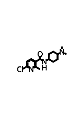 Cc1nc(Cl)ccc1C(=O)NC1CCC(N(C)C)CC1